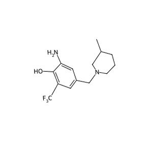 CC1CCCN(Cc2cc(N)c(O)c(C(F)(F)F)c2)C1